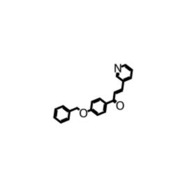 O=C(C=Cc1cccnc1)c1ccc(OCc2ccccc2)cc1